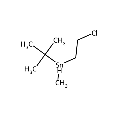 [CH3][SnH]([CH2]CCl)[C](C)(C)C